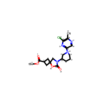 CC(C)(C)OC(=O)C1CC2(C1)CN(C1CCCN(c3cnc(C#N)c(Cl)n3)C1)C(=O)O2